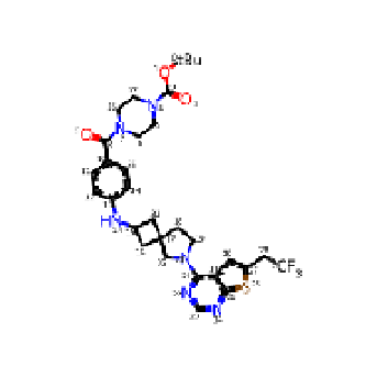 CC(C)(C)OC(=O)N1CCN(C(=O)c2ccc(NC3CC4(CCN(c5ncnc6sc(CC(F)(F)F)cc56)C4)C3)cc2)CC1